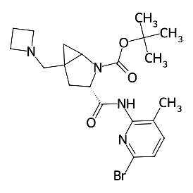 Cc1ccc(Br)nc1NC(=O)[C@@H]1CC2(CN3CCC3)CC2N1C(=O)OC(C)(C)C